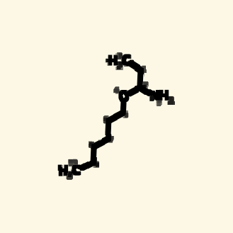 [CH2]CC(N)OCCCCCC